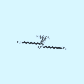 CCCCCCCCCCCCN(C)ON(C)CCCCCCCCCCCC.COP(=O)(O)OC